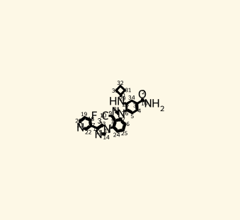 NC(=O)C1=CC=C(n2nc(C(F)(F)F)c3c(-n4cnc(-c5cccnc5)c4)cccc32)C(NC2CCC2)C1